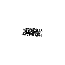 O=C1C2C3C=CC(C3)C2C(=O)N1c1cc(C(c2ccc(O)c(N3C(=O)C4C5C=CC(C5)C4C3=O)c2)(C(F)(F)F)C(F)(F)F)ccc1O